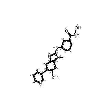 Cn1c(Nc2cccc(C(=O)NO)c2)nc2cc(-c3cccnc3)c(C(F)(F)F)cc21